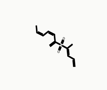 C=C/C=C(\C)S(=O)(=O)C(=C)/C=C\C=C/C